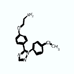 COc1ccc(-n2n[c]nc2-c2ccc(OCCN)cc2)cc1